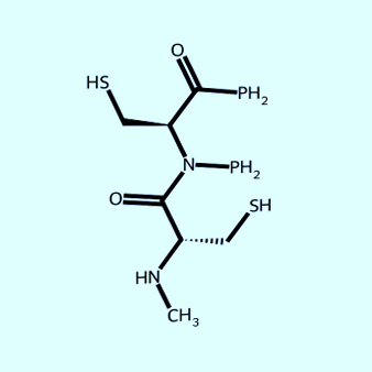 CN[C@@H](CS)C(=O)N(P)[C@@H](CS)C(=O)P